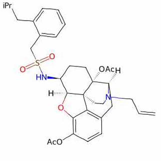 C=CCN1CC[C@]23c4c5ccc(OC(C)=O)c4O[C@H]2[C@@H](NS(=O)(=O)Cc2ccccc2CC(C)C)CC[C@@]3(OC(C)=O)[C@H]1C5